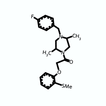 CSc1ccccc1OCC(=O)N1CC(C)N(Cc2ccc(F)cc2)CC1C